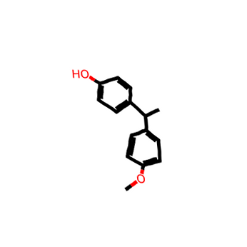 COc1ccc(C(C)c2ccc(O)cc2)cc1